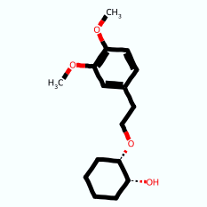 COc1ccc(CCO[C@H]2CCCC[C@H]2O)cc1OC